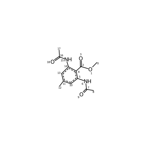 COC(=O)c1c(NC(C)=O)cc(C)cc1NC(C)=O